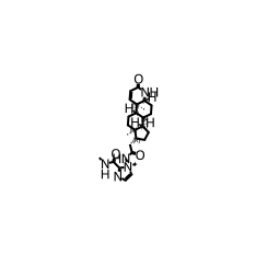 CNC(=O)C1=NC=C[N+]1(C)NC(=O)C[C@H]1CC[C@H]2[C@@H]3CC[C@H]4NC(=O)C=C[C@]4(C)[C@H]3CC[C@]12C